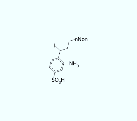 CCCCCCCCCCCC(I)c1ccc(S(=O)(=O)O)cc1.N